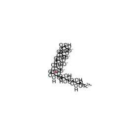 O=C([O-])C(O)C(O)C(=O)[O-].O=C([O-])C(O)C(O)C(=O)[O-].O=C([O-])C(O)C(O)C(=O)[O-].O=C([O-])C(O)C(O)C(=O)[O-].O=C([O-])C(O)C(O)C(=O)[O-].O=C([O-])C(O)C(O)C(=O)[O-].O=C([O-])C(O)C(O)C(=O)[O-].[Tc+7].[Tc+7]